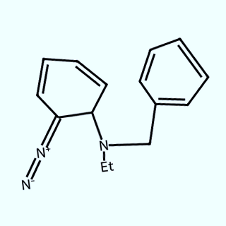 CCN(Cc1ccccc1)C1C=CC=CC1=[N+]=[N-]